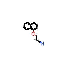 N#C[CH]COc1cccc2ccccc12